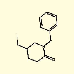 O=C1CCC(CI)CN1Cc1ccccc1